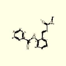 COC(=O)C=Cc1ccccc1OC(=O)c1ccccc1